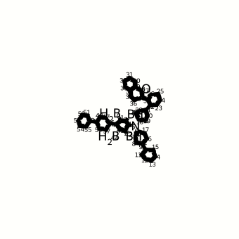 Bc1c(B)c(N(c2ccc(-c3ccccc3)cc2)c2ccc(-c3cccc4oc5c6ccccc6ccc5c34)cc2)c(B)c(B)c1-c1ccc(-c2ccccc2)cc1